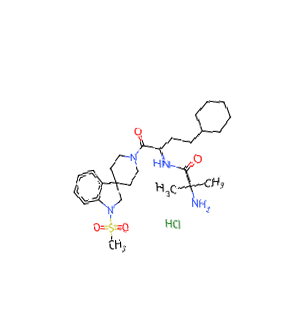 CC(C)(N)C(=O)NC(CCC1CCCCC1)C(=O)N1CCC2(CC1)CN(S(C)(=O)=O)c1ccccc12.Cl